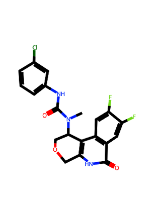 CN(C(=O)Nc1cccc(Cl)c1)C1COCc2[nH]c(=O)c3cc(F)c(F)cc3c21